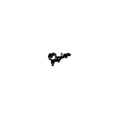 [Al+3].[Al+3].[N+3].[O-2]